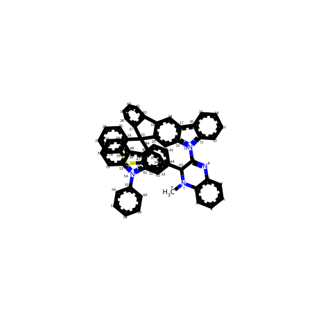 CN1c2ccccc2N=C(n2c3ccccc3c3cc4c(cc32)C2(c3ccccc3Sc3ccccc32)c2ccccc2-4)C1c1ccc2c3ccccc3n(-c3ccccc3)c2c1